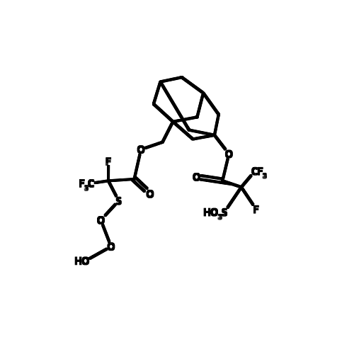 O=C(OCC12CC3CC(C1)CC(OC(=O)C(F)(C(F)(F)F)S(=O)(=O)O)(C3)C2)C(F)(SOOO)C(F)(F)F